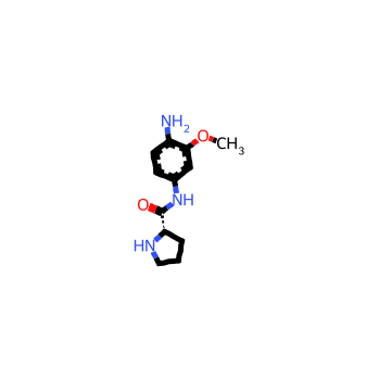 COc1cc(NC(=O)[C@@H]2CCCN2)ccc1N